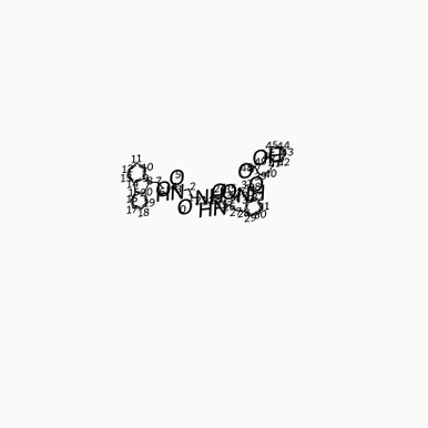 O=C(CNC(=O)OCC1c2ccccc2-c2ccccc21)NCC(=O)NC(Cc1ccccc1)C(=O)NCOC(Cc1ccccc1)C(=O)O